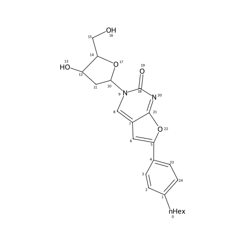 CCCCCCc1ccc(-c2cc3cn(C4CC(O)C(CO)O4)c(=O)nc3o2)cc1